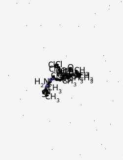 CC[Si](CC)(CC)O[C@@H](CC(=O)O)C(C)(C)C(=O)[C@H](C)[C@@H](OC(=O)OCC(Cl)(Cl)Cl)[C@@H](C)CC=C/C(C)=C\C[C@H](N)/C(C)=C/c1csc(C)n1